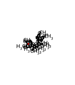 COc1ccc2c(ccn2P(Oc2cc(C(C)(C)C)cc3c2Oc2c(OP(n4ccc5cc(OC)ccc54)n4ccc5cc(OC)ccc54)cc(C(C)(C)C)cc2C3(C)C)n2ccc3cc(OC)ccc32)c1